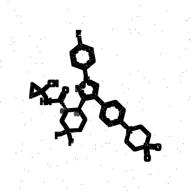 N#CC1(NC(=O)[C@H]2CC(F)(F)CC[C@@H]2c2nn(-c3ccc(F)cc3)cc2-c2ccc(N3CCS(=O)(=O)CC3)cc2)CC1